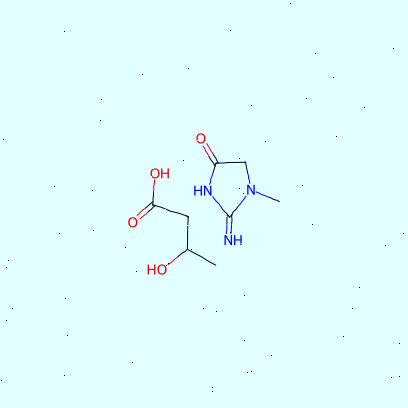 CC(O)CC(=O)O.CN1CC(=O)NC1=N